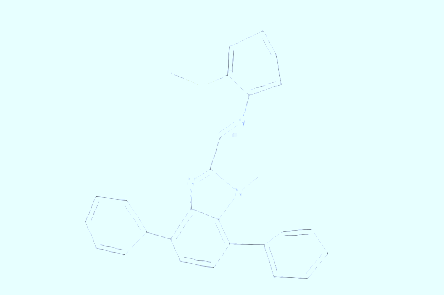 CSc1ccccc1/N=C/c1nc2c(-c3ccccc3)ccc(-c3ccccc3)c2n1C